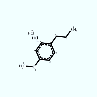 COc1ccc(CC[SiH3])cc1.Cl.Cl